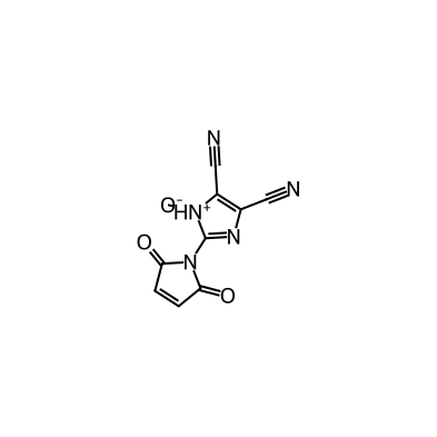 N#CC1=C(C#N)[NH+]([O-])C(N2C(=O)C=CC2=O)=N1